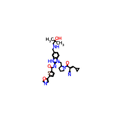 CC(C)(O)CNCc1ccc2c(c1)[nH]c(=NC(=O)c1ccc(-c3cnco3)s1)n2CC1CCCN1C(=O)C(C#N)=CC1CC1